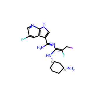 N/C(=N\C(N[C@H]1CCC[C@@H](N)C1)=C(\F)CI)c1c[nH]c2ncc(F)cc12